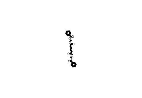 O=C(CCCCC(=O)OCOC(=O)c1ccccc1)OCOC(=O)c1ccccc1